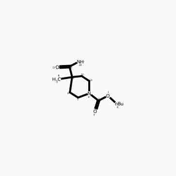 CCCCOC(=O)N1CCC(C)(C([NH])=O)CC1